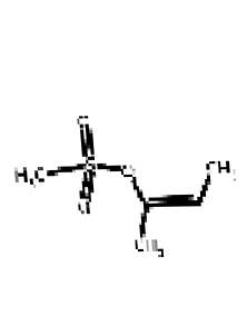 CC=C(C)OS(C)(=O)=O